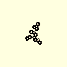 c1ccc2c(c1)-c1cccc3c(-n4c5ccccc5c5c4ccc4c6c7oc8ccccc8c7ccc6n(-c6ccc7ccccc7c6)c45)ccc-2c13